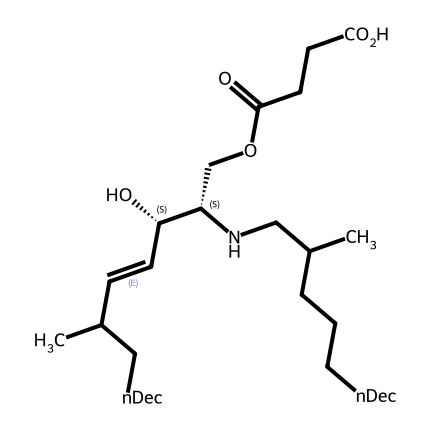 CCCCCCCCCCCCCC(C)CN[C@@H](COC(=O)CCC(=O)O)[C@@H](O)/C=C/C(C)CCCCCCCCCCC